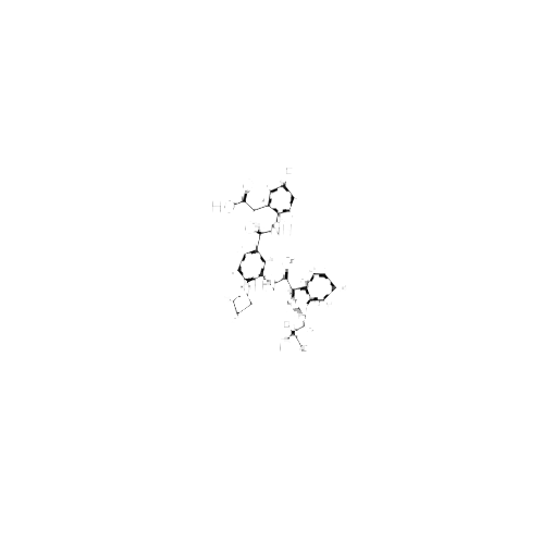 O=C(O)Cc1cc(F)ccc1NC(=O)c1ccc(N2CCC2)c(NC(=O)c2nn(CC(F)(F)F)c3ccccc23)c1